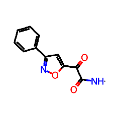 [NH]C(=O)C(=O)c1cc(-c2ccccc2)no1